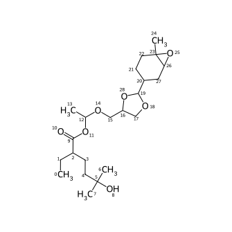 CCC(CCC(C)(C)O)C(=O)OC(C)OCC1COC(C2CCC3(C)OC3C2)O1